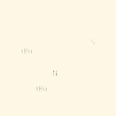 CC(C)(C)C1C2CCSC2CN1C(C)(C)C